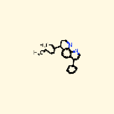 C=C/C=C\C(=C/C)C1CC=Nc2c1ccc1c(-c3ccccc3)ccnc21